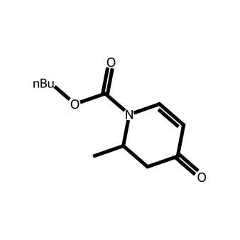 CCCCOC(=O)N1C=CC(=O)CC1C